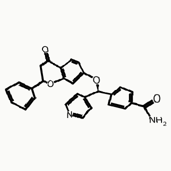 NC(=O)c1ccc([C@H](Oc2ccc3c(c2)OC(c2ccccc2)CC3=O)c2ccncc2)cc1